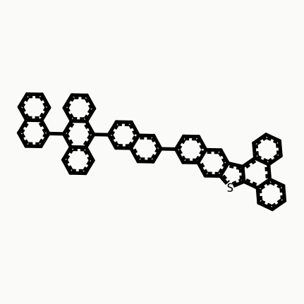 c1ccc2c(-c3c4ccccc4c(-c4ccc5cc(-c6ccc7cc8c(cc7c6)sc6c7ccccc7c7ccccc7c86)ccc5c4)c4ccccc34)cccc2c1